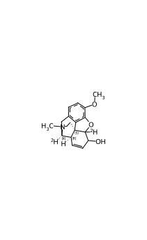 [2H]C12Oc3c(OC)ccc4c3[C@@]13CCN(C)[C@]([2H])(C4)[C@@H]3C=CC2O